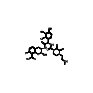 CNCCN1CCN(C(=O)N[C@@H](C(=O)N[C@H]2Cc3ccc(F)c(C(=O)O)c3OB2O)c2ccc(O)c(O)c2Cl)C(=O)C1=O